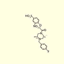 C[C@@H]1CN(Cc2ccc(F)cc2)[C@@H](C)CN1C(=O)COc1ccc(S(=O)(=O)O)cc1[N+](=O)[O-]